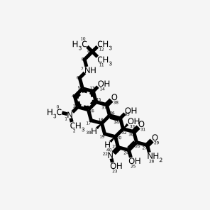 CN(C)c1cc(CNCC(C)(C)C)c(O)c2c1C[C@H]1C[C@H]3C(=NO)C(O)=C(C(N)=O)C(=O)[C@@]3(O)C(O)=C1C2=O